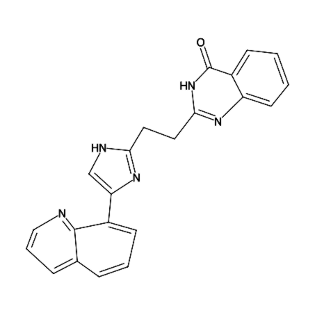 O=c1[nH]c(CCc2nc(-c3cccc4cccnc34)c[nH]2)nc2ccccc12